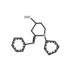 O=CC1CCN(c2ccccc2)C(=Cc2ccccc2)C1